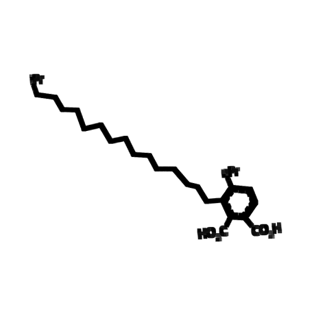 CCCc1ccc(C(=O)O)c(C(=O)O)c1CCCCCCCCCCCCCCCC(C)C